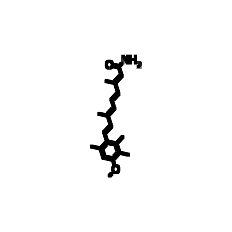 COc1cc(C)c(/C=C/C(C)=C/C=C/C(C)=C/C(N)=O)c(C)c1C